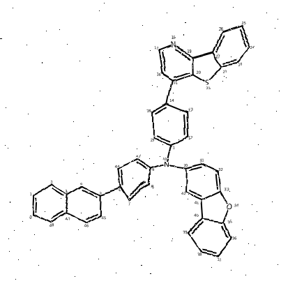 c1ccc2cc(-c3ccc(N(c4ccc(-c5ccnc6c5sc5ccccc56)cc4)c4ccc5oc6ccccc6c5c4)cc3)ccc2c1